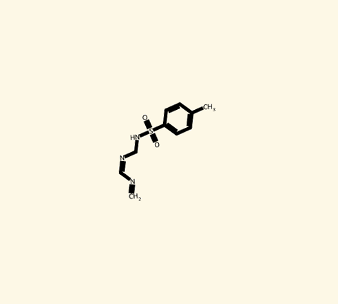 C=N/C=N\CNS(=O)(=O)c1ccc(C)cc1